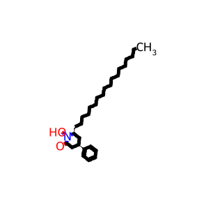 CCCCCCCCCCCCCCCCCC[C@@H]1C[C@H](c2ccccc2)CC(=O)N1O